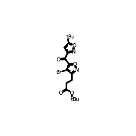 CC(C)(C)OC(=O)CCc1noc(C(=O)c2cc(C(C)(C)C)on2)c1Br